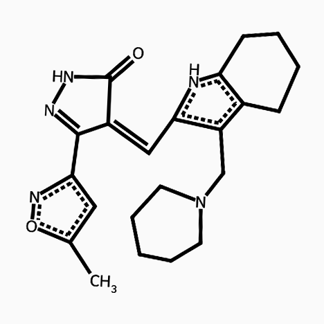 Cc1cc(C2=NNC(=O)C2=Cc2[nH]c3c(c2CN2CCCCC2)CCCC3)no1